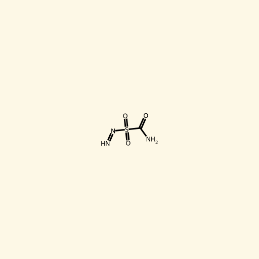 N=NS(=O)(=O)C(N)=O